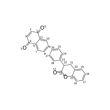 O=C1C=CC(=O)c2ccccc21.O=C1Oc2ccccc2CC1c1ccccc1